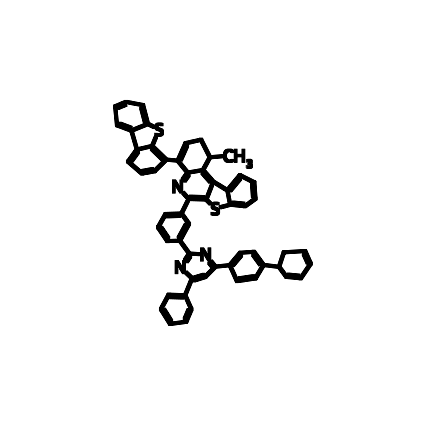 CC1CC=C(c2cccc3c2sc2ccccc23)c2nc(-c3cccc(-c4nc(-c5ccccc5)cc(-c5ccc(C6C=CC=CC6)cc5)n4)c3)c3sc4ccccc4c3c21